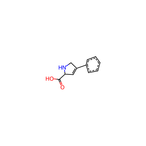 O=C(O)C1C=C(c2ccccc2)CN1